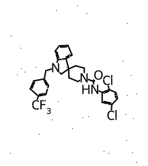 O=C(Nc1cc(Cl)ccc1Cl)N1CCC2(CC1)CN(Cc1ccc(C(F)(F)F)cc1)c1ccccc12